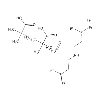 C=O.CC(C)(C)C(=O)O.CC(C)(C)C(=O)O.CC(C)P(CCNCCP(C(C)C)C(C)C)C(C)C.[Fe]